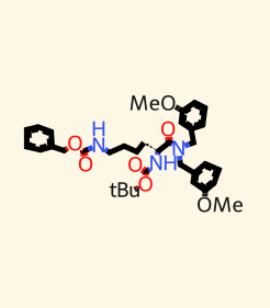 COc1cccc(CN(Cc2cccc(OC)c2)C(=O)[C@@H](CCCCNC(=O)OCc2ccccc2)NC(=O)OC(C)(C)C)c1